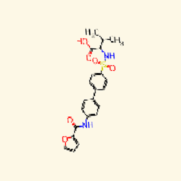 CC(C)[C@@H](NS(=O)(=O)c1ccc(-c2ccc(NC(=O)c3ccco3)cc2)cc1)C(=O)O